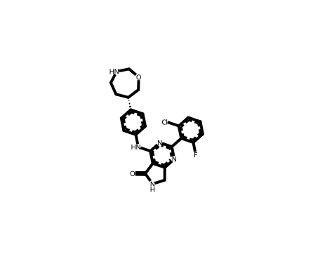 O=C1NCc2nc(-c3c(F)cccc3Cl)nc(Nc3ccc([C@@H]4CCNCOC4)cc3)c21